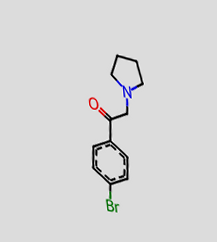 O=C(CN1CCCC1)c1ccc(Br)cc1